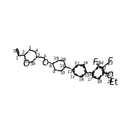 C=CC1CCC(COC2CCC(c3ccc(-c4ccc(OCC)c(F)c4F)cc3)CC2)CO1